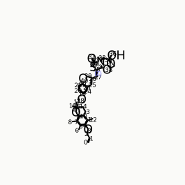 C=CCOc1c(C)c(C)c2c(c1C)CCC(C)(COc1ccc3c(c1)C=C(/C=C1\SC(=O)N(CC(=O)O)C1=O)CO3)O2